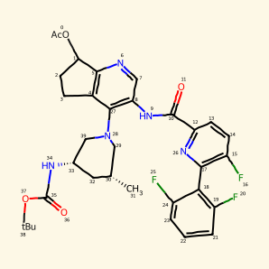 CC(=O)OC1CCc2c1ncc(NC(=O)c1ccc(F)c(-c3c(F)cccc3F)n1)c2N1C[C@H](C)C[C@H](NC(=O)OC(C)(C)C)C1